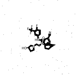 N#Cc1cccc([C@@]23CC[C@@H](N(CCN4CC[C@@H](O)C4)C(=O)Nc4ccc(F)c(C(F)(F)F)c4)CC2C3)c1